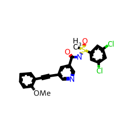 COc1ccccc1C#Cc1cncc(C(=O)N=S(C)(=O)c2cc(Cl)cc(Cl)c2)c1